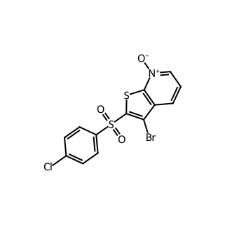 O=S(=O)(c1ccc(Cl)cc1)c1sc2c(ccc[n+]2[O-])c1Br